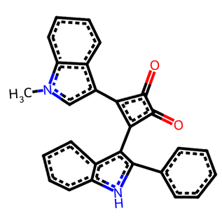 Cn1cc(-c2c(-c3c(-c4ccccc4)[nH]c4ccccc34)c(=O)c2=O)c2ccccc21